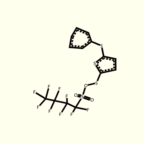 O=S(=O)(OSc1ccc(Sc2ccccc2)s1)C(F)(F)C(F)(F)C(F)(F)C(F)(F)F